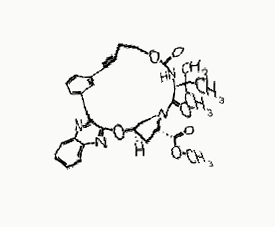 COC(=O)[C@@H]1C[C@@H]2CN1C(=O)[C@H](C(C)(C)C)NC(=O)OCC/C=C/c1cccc(c1)-c1nc3ccccc3nc1O2